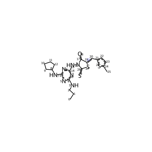 CCCNc1nc(NC2CCCC2)nc(NN2C(=O)/C(=C/c3ccc(C)s3)SC2=S)n1